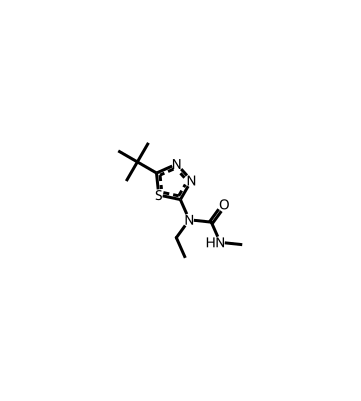 CCN(C(=O)NC)c1nnc(C(C)(C)C)s1